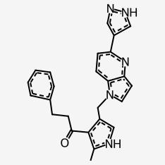 Cc1[nH]cc(Cn2ccc3nc(-c4cn[nH]c4)ccc32)c1C(=O)CCc1ccccc1